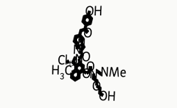 CNCCN(CCOCCO)C(=O)Oc1cc2c(c3c(C)cccc13)[C@H](CCl)CN2C(=O)c1cn2cc(CC(=O)c3ccc(O)cc3)ccc2n1